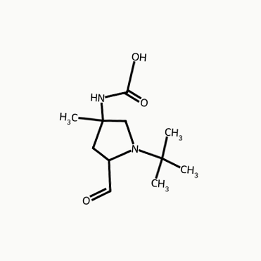 CC1(NC(=O)O)CC(C=O)N(C(C)(C)C)C1